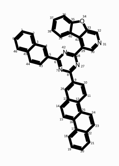 c1ccc2cc(-c3nc(-c4ccc5c(ccc6c7ccccc7ccc56)c4)nc(-c4cncc5oc6ccccc6c45)n3)ccc2c1